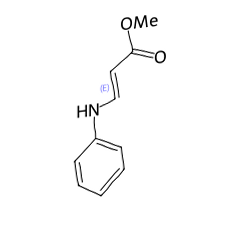 COC(=O)/C=C/Nc1ccccc1